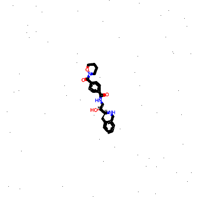 O=C(NC[C@@H](O)[C@@H]1Cc2ccccc2CN1)c1ccc(C(=O)N2CCCCO2)cc1